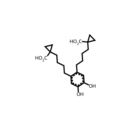 O=C(O)C1(CCCCc2cc(O)c(O)cc2CCCCC2(C(=O)O)CC2)CC1